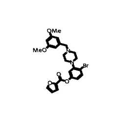 COc1cc(CN2CCN(c3cc(OC(=O)c4ccco4)ccc3Br)CC2)cc(OC)c1